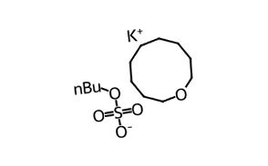 C1CCCCOCCCC1.CCCCOS(=O)(=O)[O-].[K+]